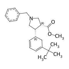 COC(=O)[C@H]1CN(Cc2ccccc2)CC1[C@H]1C=CC=C(C(C)(C)C)C1